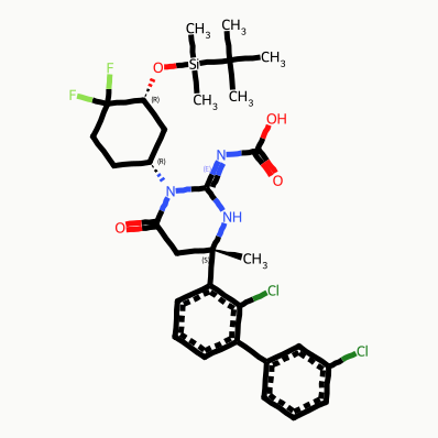 CC(C)(C)[Si](C)(C)O[C@@H]1C[C@H](N2C(=O)C[C@@](C)(c3cccc(-c4cccc(Cl)c4)c3Cl)N/C2=N\C(=O)O)CCC1(F)F